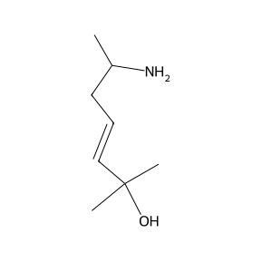 CC(N)CC=CC(C)(C)O